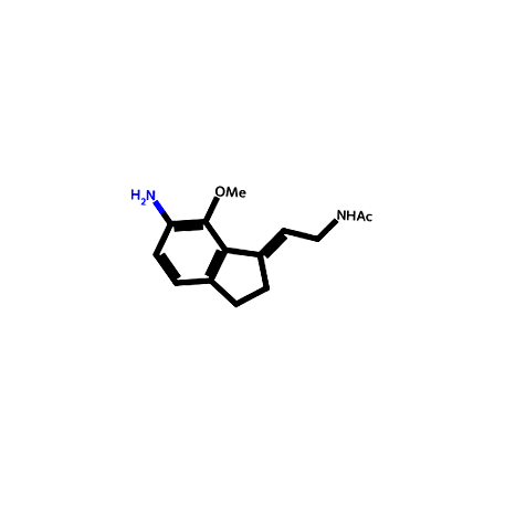 COc1c(N)ccc2c1C(=CCNC(C)=O)CC2